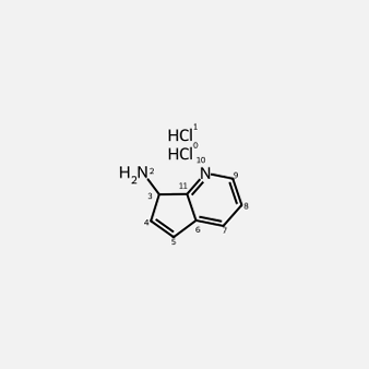 Cl.Cl.NC1C=Cc2cccnc21